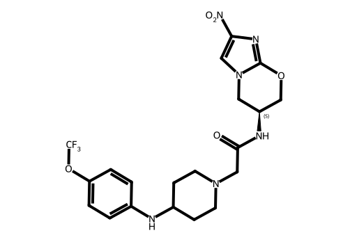 O=C(CN1CCC(Nc2ccc(OC(F)(F)F)cc2)CC1)N[C@@H]1COc2nc([N+](=O)[O-])cn2C1